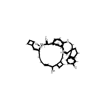 O=C1N[S+]([O-])C(CC2CCC2)CC/C=C/C(O)C2CCC2CN2CC3(CCc4cc(Cl)ccc43)COc3ccc1cc32